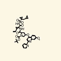 C=CC1CC1(NC(=O)C1CC(Oc2cc(-c3ccccn3)nc3cc(OC)ccc23)CN1C(=O)OC(C)(C)C)C(=O)NS(=O)(=O)C1(CC2CC2)CC1